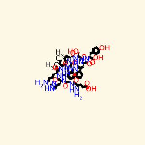 CC[C@H](C)[C@H](NC(=O)[C@H](CCCCN)NC(=O)[C@H](Cc1c[nH]cn1)NC(=O)CNC(=O)[C@@H](N)CCC(=O)O)C(=O)N[C@@H](Cc1ccccc1)C(=O)N1CCC[C@H]1C(=O)N[C@@H](CO)C(=O)N[C@@H](Cc1c[nH]c2ccccc12)C(=O)N[C@@H](Cc1ccc(O)cc1)C(=O)O